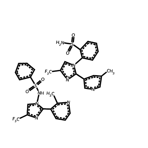 Cc1cncc(-c2nc(C(F)(F)F)cn2-c2ccccc2S(N)(=O)=O)c1.Cc1ncccc1-c1nc(C(F)(F)F)cn1NS(=O)(=O)c1ccccc1